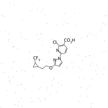 O=C(O)c1ccc(-n2ccc(OCCC3CC3C(F)(F)F)n2)nc1Cl